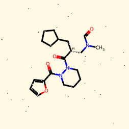 CN(C=O)C[C@@H](CC1CCCC1)C(=O)N1CCCCN1C(=O)c1ccco1